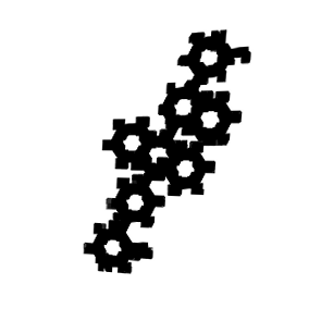 Cc1cc(-c2ccc(-c3c4ccccc4c(-c4ccc(-c5ccncc5C)cc4)c4ccccc34)c3ccccc23)ccn1